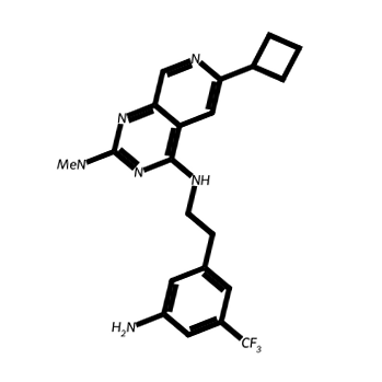 CNc1nc(NCCc2cc(N)cc(C(F)(F)F)c2)c2cc(C3CCC3)ncc2n1